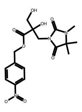 CN1C(=O)N(CC(O)(CO)C(=O)OCc2ccc([N+](=O)[O-])cc2)C(=O)C1(C)C